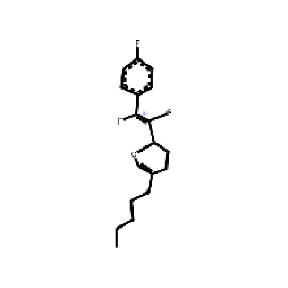 CCCCCC1=COC(/C(F)=C(\F)c2ccc(F)cc2)CC1